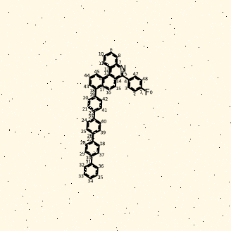 Fc1ccc(-c2nc3ccccc3c3c2ccc2c(-c4ccc(-c5ccc(-c6ccc(-c7ccccc7)cc6)cc5)cc4)cccc23)cc1